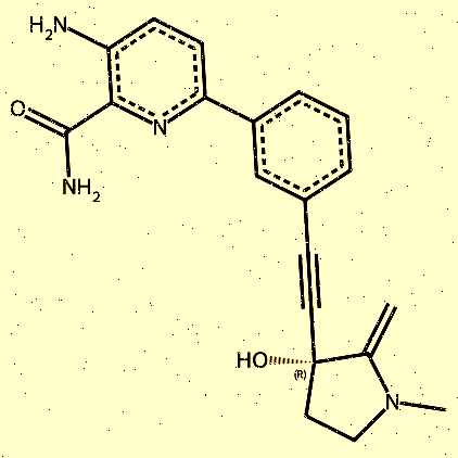 C=C1N(C)CC[C@@]1(O)C#Cc1cccc(-c2ccc(N)c(C(N)=O)n2)c1